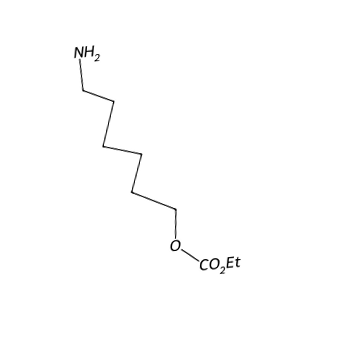 CCOC(=O)OCCCCCCN